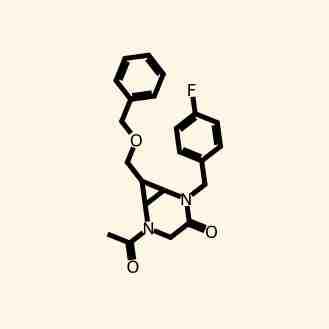 CC(=O)N1CC(=O)N(Cc2ccc(F)cc2)C2C(COCc3ccccc3)C21